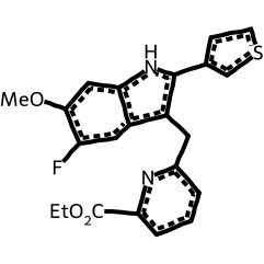 CCOC(=O)c1cccc(Cc2c(-c3ccsc3)[nH]c3cc(OC)c(F)cc23)n1